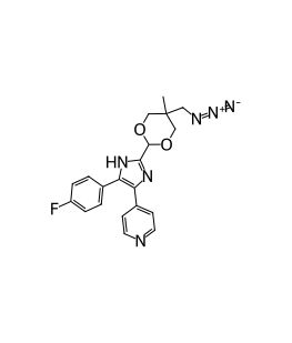 CC1(CN=[N+]=[N-])COC(c2nc(-c3ccncc3)c(-c3ccc(F)cc3)[nH]2)OC1